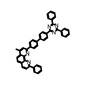 Cc1cc(-c2ccc(-c3ccc(-c4nc(-c5ccccc5)nc(-c5ccccc5)n4)cc3)cc2)nc2c1ccc1ccc(-c3ccccc3)nc12